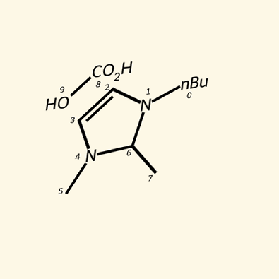 CCCCN1C=CN(C)C1C.O=C(O)O